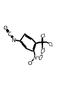 O=C=Nc1ccc(C(Cl)(Cl)Cl)c([N+](=O)[O-])c1